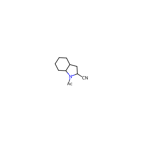 CC(=O)N1C(C#N)CC2CCCCC21